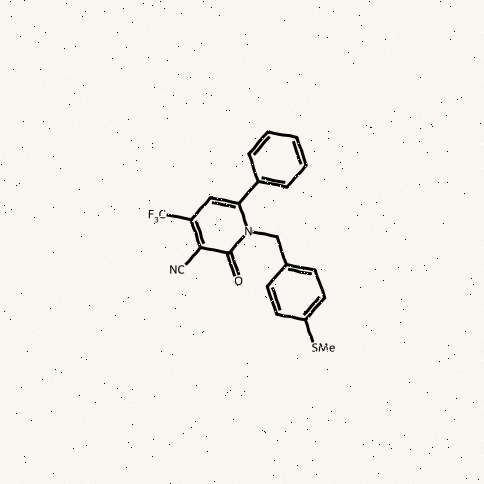 CSc1ccc(Cn2c(-c3ccccc3)cc(C(F)(F)F)c(C#N)c2=O)cc1